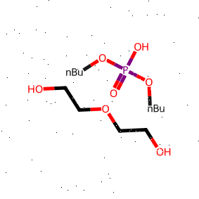 CCCCOP(=O)(O)OCCCC.OCCOCCO